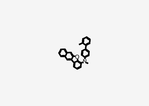 Cc1ccccc1-c1ccc(N(C)c2cccc3c2oc2cc4ccccc4cc23)cc1